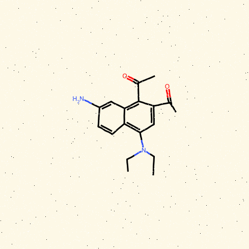 CCN(CC)c1cc(C(C)=O)c(C(C)=O)c2cc(N)ccc12